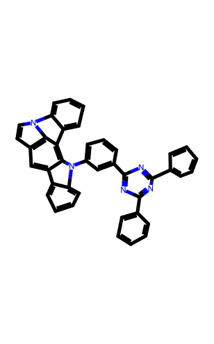 c1ccc(-c2nc(-c3ccccc3)nc(-c3cccc(-n4c5ccccc5c5cc6ccn7c8ccccc8c(c54)c67)c3)n2)cc1